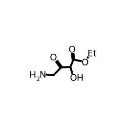 CCOC(=O)C(O)C(=O)CN